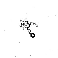 C=CC(O)C(C)CC(C)COCc1ccccc1